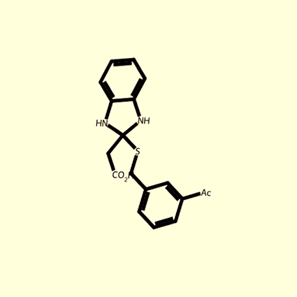 CC(=O)c1cccc(CSC2(CC(=O)O)Nc3ccccc3N2)c1